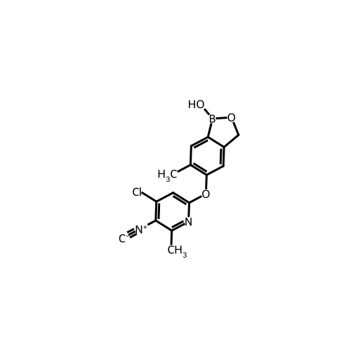 [C-]#[N+]c1c(Cl)cc(Oc2cc3c(cc2C)B(O)OC3)nc1C